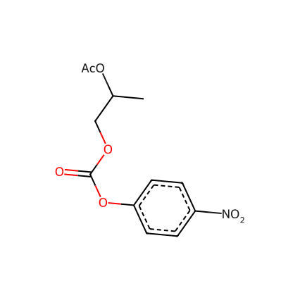 CC(=O)OC(C)COC(=O)Oc1ccc([N+](=O)[O-])cc1